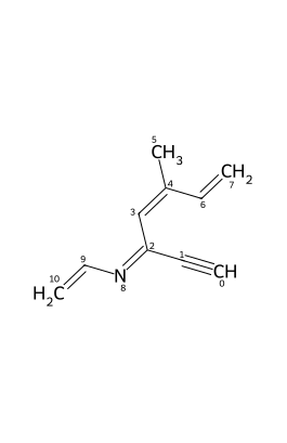 C#CC(/C=C(/C)C=C)=N/C=C